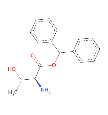 C[C@H](O)[C@H](N)C(=O)OC(c1ccccc1)c1ccccc1